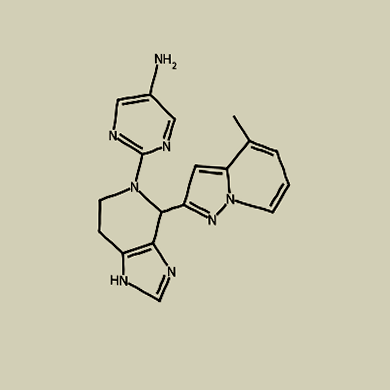 Cc1cccn2nc(C3c4nc[nH]c4CCN3c3ncc(N)cn3)cc12